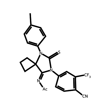 CC(=O)N=C1N(c2ccc(C#N)c(C(F)(F)F)c2)C(=S)N(c2ccc(C)cc2)C12CCC2